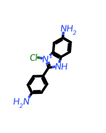 Nc1ccc(-c2[nH]c3ccc(N)cc3[n+]2Cl)cc1